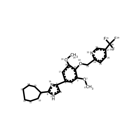 COc1cc(-c2c[nH]c(C3CCCCCC3)n2)cc(OC)c1OCc1ccc(C(F)(F)F)cn1